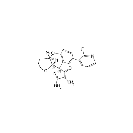 CN1C(=O)[C@]2(N=C1N)c1cc(-c3cccnc3F)ccc1O[C@H]1CCCO[C@H]12